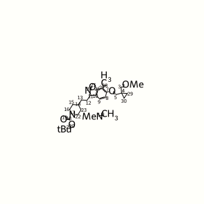 CNC.COCC1(COc2ccc3c(CCC4CCN(C(=O)OC(C)(C)C)CC4)noc3c2C)CC1